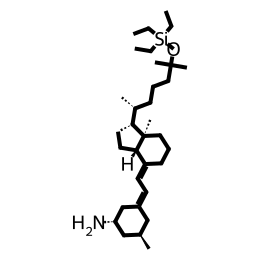 CC[Si](CC)(CC)OC(C)(C)CCC[C@@H](C)[C@H]1CC[C@H]2/C(=C/C=C3/C[C@@H](C)C[C@H](N)C3)CCC[C@]12C